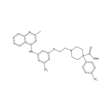 COC(=O)C1(c2ccc(C(F)(F)F)cc2)CCN(CCOc2cc(Nc3cc(C)nc4ccccc34)cc(C(F)(F)F)c2)CC1